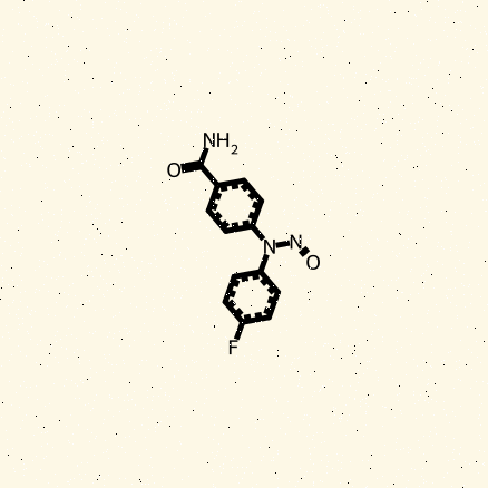 NC(=O)c1ccc(N(N=O)c2ccc(F)cc2)cc1